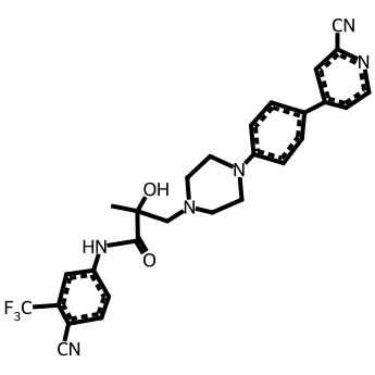 CC(O)(CN1CCN(c2ccc(-c3ccnc(C#N)c3)cc2)CC1)C(=O)Nc1ccc(C#N)c(C(F)(F)F)c1